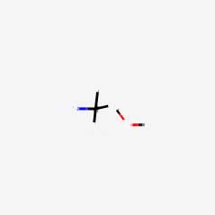 CCO[SiH2]C(C)(C)N